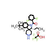 CCC[C@H]1N(C(=O)c2c(F)cccc2F)c2ccc(C(C)(C)C)cc2C12CCNCC2.O=C(O)C(F)(F)F